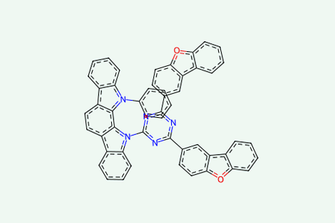 c1ccc(-n2c3ccccc3c3ccc4c5ccccc5n(-c5nc(-c6ccc7oc8ccccc8c7c6)nc(-c6ccc7oc8ccccc8c7c6)n5)c4c32)cc1